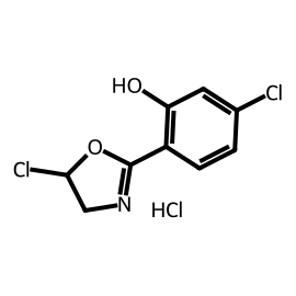 Cl.Oc1cc(Cl)ccc1C1=NCC(Cl)O1